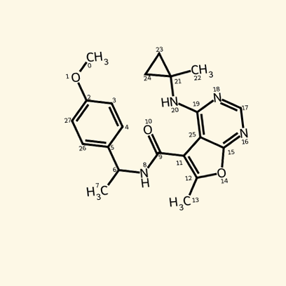 COc1ccc(C(C)NC(=O)c2c(C)oc3ncnc(NC4(C)CC4)c23)cc1